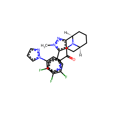 Cn1nc2c(c1-c1cc(F)c(F)c(F)c1)C[C@@H]1CCC[C@H]2N1CC(=O)c1cc(-n2cccn2)ccn1